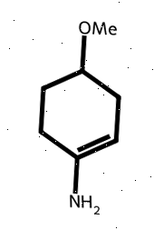 COC1CC=C(N)CC1